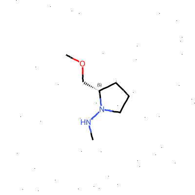 CNN1CCC[C@H]1COC